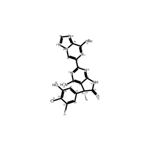 CCCCc1nc(-c2nc(N)c3c(n2)NC(=O)[C@@]3(C)c2cc(O)c(Cl)c(F)c2)cn2ncnc12